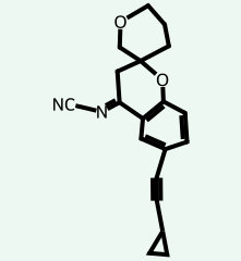 N#CN=C1CC2(CCCOC2)Oc2ccc(C#CC3CC3)cc21